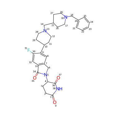 O=C1CCC(N2Cc3cc(C4CCN(CC5CCN(Cc6ccccc6)CC5)CC4)c(F)cc3C2=O)C(=O)N1